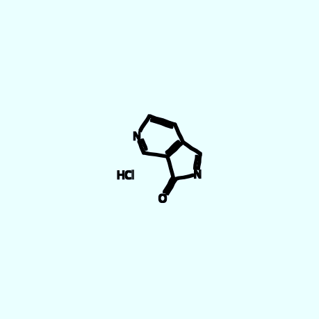 Cl.O=C1N=Cc2ccncc21